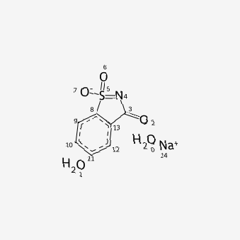 O.O.O=C1N=S(=O)([O-])c2ccccc21.[Na+]